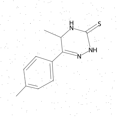 Cc1ccc(C2=NNC(=S)NC2C)cc1